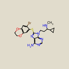 CNC(CCn1c(Sc2cc3c(cc2Br)OCCO3)nc2c(N)ncnc21)C1CC1